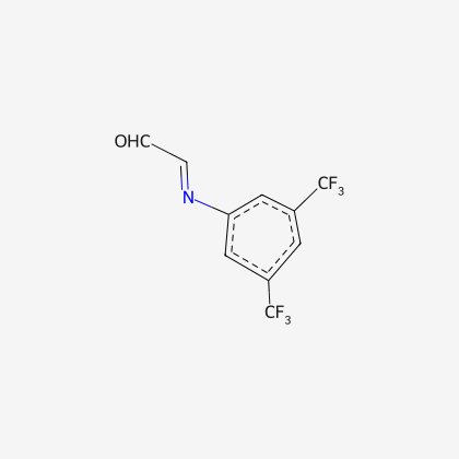 O=CC=Nc1cc(C(F)(F)F)cc(C(F)(F)F)c1